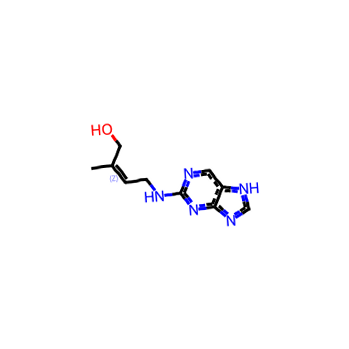 C/C(=C/CNc1ncc2[nH]cnc2n1)CO